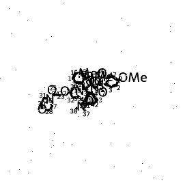 COc1ccc(S(=O)(=O)N2C(=O)C(c3ccccc3OC)(N3C[C@H](OCC(=O)N4CCOCC4)C[C@H]3C(=O)N(C)C)c3ccccc32)c(OC)c1